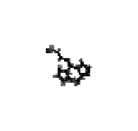 Cc1ccsc1C(=CCCCl)c1cccs1